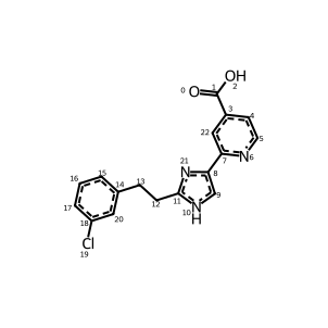 O=C(O)c1ccnc(-c2c[nH]c(CCc3cccc(Cl)c3)n2)c1